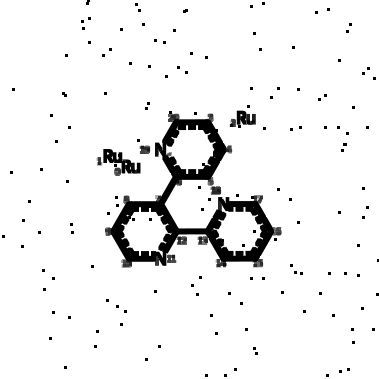 [Ru].[Ru].[Ru].c1ccc(-c2cccnc2-c2ccccn2)nc1